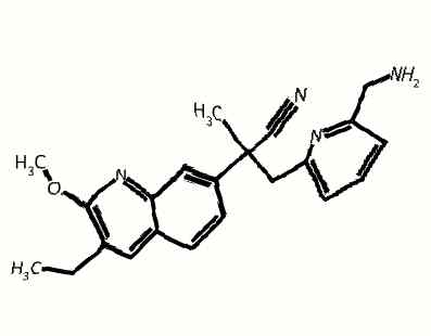 CCc1cc2ccc(C(C)(C#N)Cc3cccc(CN)n3)cc2nc1OC